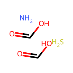 N.O=CO.O=CO.S